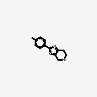 Fc1ccc(-c2nc3c(s2)CNCC3)cc1